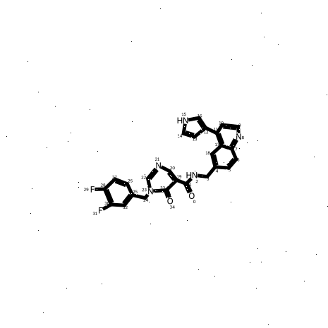 O=C(NCc1ccc2nccc(-c3cc[nH]c3)c2c1)c1cncn(Cc2ccc(F)c(F)c2)c1=O